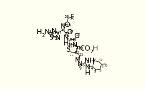 CC1CCC(NC(=N)N(C)/N=C/C2=C(C(=O)O)N3C(=O)[C@@H](NC(=O)/C(=N\OCF)c4nsc(N)n4)C3SC2)CC1